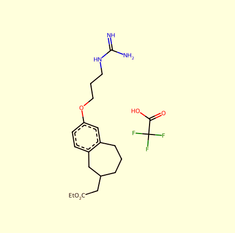 CCOC(=O)CC1CCCc2cc(OCCCNC(=N)N)ccc2C1.O=C(O)C(F)(F)F